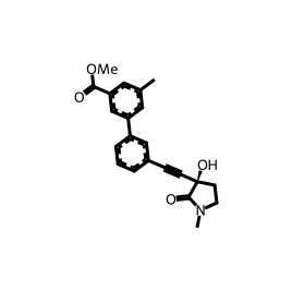 COC(=O)c1cc(C)cc(-c2cccc(C#C[C@]3(O)CCN(C)C3=O)c2)c1